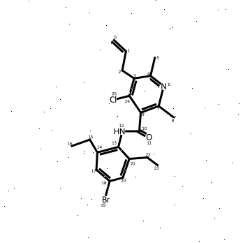 C=CCc1c(C)nc(C)c(C(=O)Nc2c(CC)cc(Br)cc2CC)c1Cl